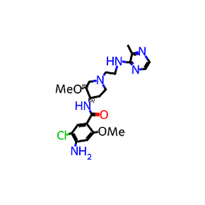 COc1cc(N)c(Cl)cc1C(=O)N[C@H]1CCN(CCNc2nccnc2C)C[C@H]1OC